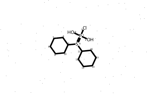 OP(O)(Cl)=S(C1CCCCC1)C1CCCCC1